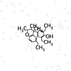 CCc1ccc2c(c1)C(C)(c1cc(CC)c(O)c(CC)c1)C(C)C(C)O2